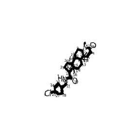 CN1C(=O)C=C[C@@]2(C)C1CC[C@@H]1[C@H]2CC[C@]2(C)C(C(=O)NCc3ccc(Cl)cc3)CC[C@@H]12